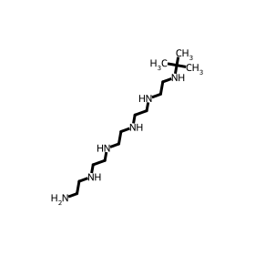 CC(C)(C)NCCNCCNCCNCCNCCN